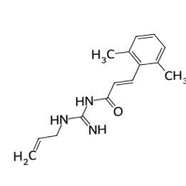 C=CCNC(=N)NC(=O)/C=C/c1c(C)cccc1C